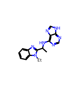 CCn1c(C(C)Nc2ncnc3[nH]cnc23)nc2ccccc21